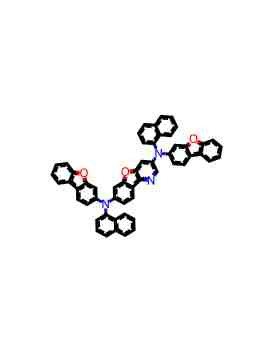 c1ccc2c(N(c3ccc4c(c3)oc3ccccc34)c3ccc4c(c3)oc3cc(N(c5ccc6c(c5)oc5ccccc56)c5cccc6ccccc56)cnc34)cccc2c1